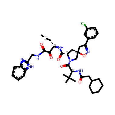 CCC[C@H](NC(=O)[C@@H]1C[C@]2(CC(c3cccc(Cl)c3)=NO2)CN1C(=O)[C@@H](NC(=O)CC1CCCCC1)C(C)(C)C)C(=O)C(=O)NCc1nc2ccccc2[nH]1